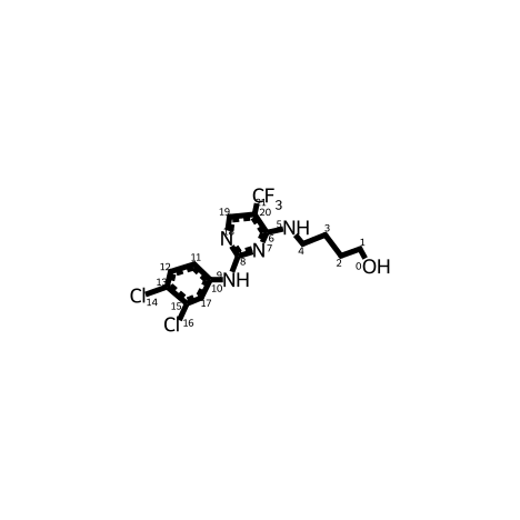 OCCCCNc1nc(Nc2ccc(Cl)c(Cl)c2)ncc1C(F)(F)F